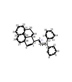 C1=CC(/C=N/N(c2ccccc2)c2ccccc2)C2=CCc3cccc4ccc1c2c34